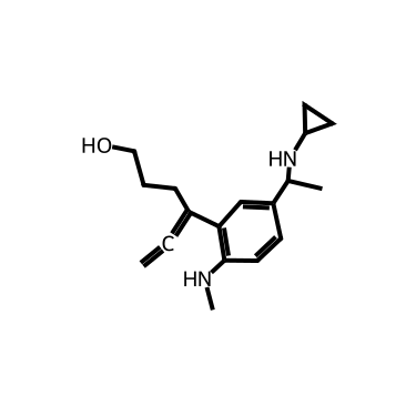 C=C=C(CCCO)c1cc(C(C)NC2CC2)ccc1NC